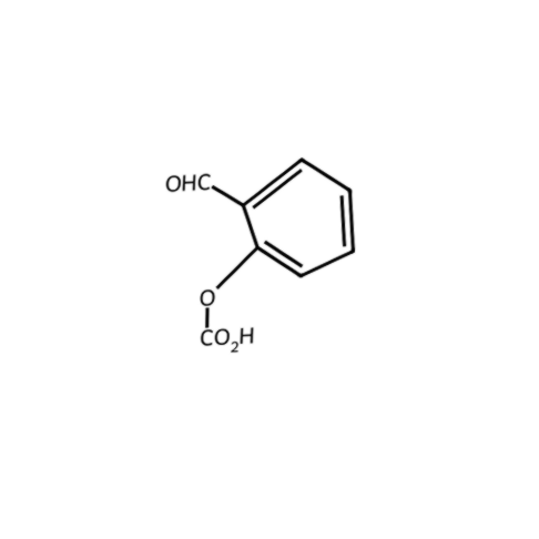 O=Cc1ccccc1OC(=O)O